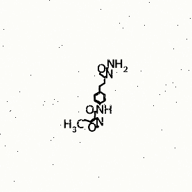 CCc1ocnc1C(=O)Nc1ccc(CCC2COC(N)=N2)cc1